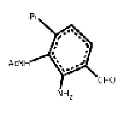 CC(=O)Nc1c(C(C)C)ccc(C=O)c1N